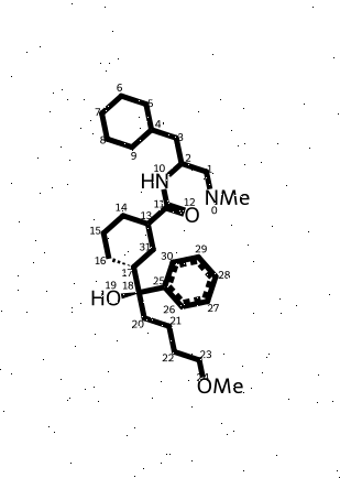 CNCC(CC1CCCCC1)NC(=O)C1CCC[C@@H]([C@@](O)(CCCCOC)c2ccccc2)C1